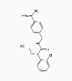 COC(C(=O)NCc1ccc(C(=N)N)cc1)c1ccccc1Cl.Cl